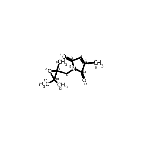 CC1=CC(=O)N(CC2(C)OC2(C)C)C1=O